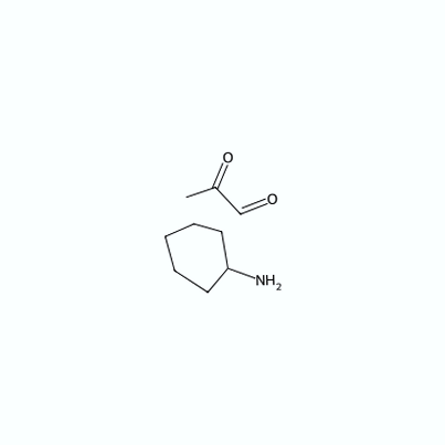 CC(=O)C=O.NC1CCCCC1